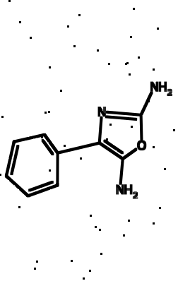 Nc1nc(-c2ccccc2)c(N)o1